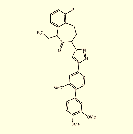 COc1ccc(-c2ccc(-c3cn(C4CCc5c(F)cccc5N(CC(F)(F)F)C4=O)nn3)cc2OC)cc1OC